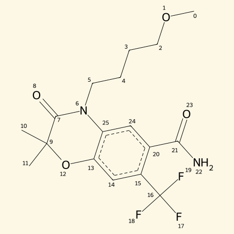 COCCCCN1C(=O)C(C)(C)Oc2cc(C(F)(F)F)c(C(N)=O)cc21